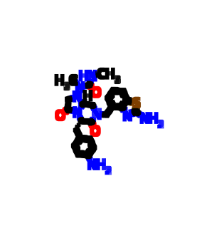 CNC(=O)N(C)N1CC(=O)N2[C@@H](Cc3ccc(N)cc3)C(=O)N(Cc3cccc4sc(N)nc34)C[C@@H]21